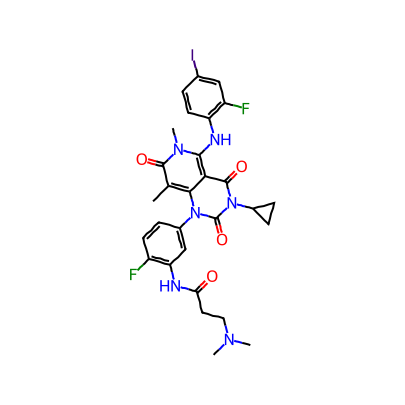 Cc1c(=O)n(C)c(Nc2ccc(I)cc2F)c2c(=O)n(C3CC3)c(=O)n(-c3ccc(F)c(NC(=O)CCN(C)C)c3)c12